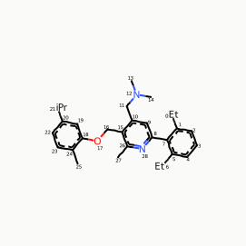 CCc1cccc(CC)c1-c1cc(CN(C)C)c(COc2cc(C(C)C)ccc2C)c(C)n1